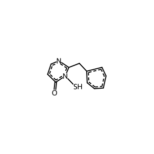 O=c1ccnc(Cc2ccccc2)n1S